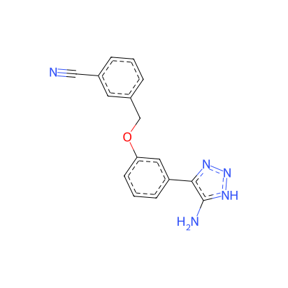 N#Cc1cccc(COc2cccc(-c3nn[nH]c3N)c2)c1